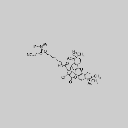 CC(=O)N1c2ccc3c(c2CCC1(C)C)Oc1c(ccc2c1CCC(C)(C)N2C(C)=O)C31OC(=O)c2c(Cl)cc(C(=O)NCCCCCCOP(OCCC#N)N(C(C)C)C(C)C)c(I)c21